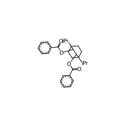 CC(C)C12CCC(C(C)C)(CC1)C(OC(=O)c1ccccc1)C2OC(=O)c1ccccc1